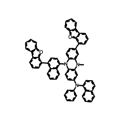 CN1c2cc(-c3cccc4c3oc3ccccc34)ccc2N(c2ccc(-c3cccc4c3oc3ccccc34)c3ccccc23)c2ccc(N(c3ccccc3)c3cccc4ccccc34)cc21